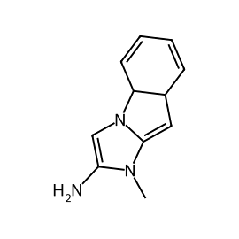 CN1C(N)=CN2C1=CC1C=CC=CC12